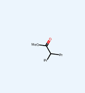 COC(=O)C(C(C)C)C(C)C